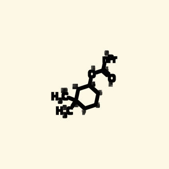 CCCC(=O)OC1CCCC(C)(C)C1